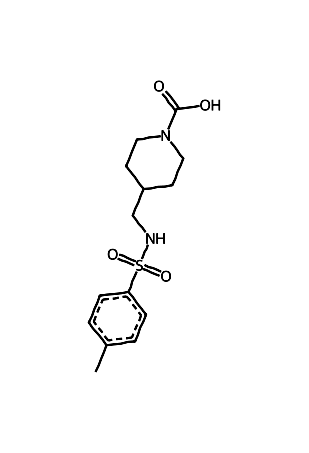 Cc1ccc(S(=O)(=O)NCC2CCN(C(=O)O)CC2)cc1